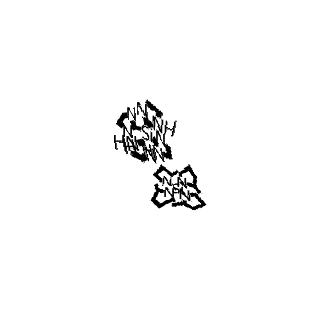 CC1CCCN1[Si](N1CCCC1C)(N1CCCC1C)N1CCCC1C.c1c[nH]c([Si](c2ncc[nH]2)(c2ncc[nH]2)c2ncc[nH]2)n1